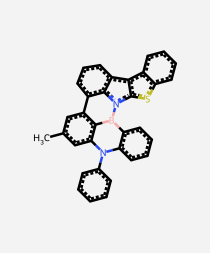 Cc1cc2c3c(c1)N(c1ccccc1)c1ccccc1B3n1c3sc4ccccc4c3c3cccc-2c31